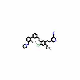 C=Cc1cc(Cl)c(CCc2cccc(-c3cccc(CN4CCCC4)c3C)c2)cc1CCc1cncc(C#N)c1